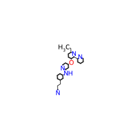 CCc1ccc(Oc2ccnc(Nc3cccc(CCC#N)c3)c2)c(-c2ccccn2)n1